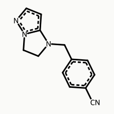 N#Cc1ccc(CN2CCn3nccc32)cc1